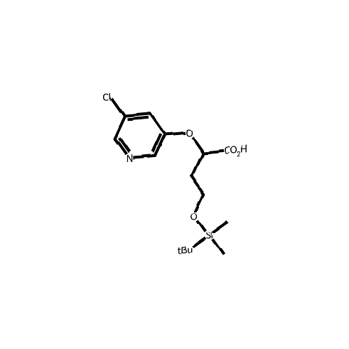 CC(C)(C)[Si](C)(C)OCCC(Oc1cncc(Cl)c1)C(=O)O